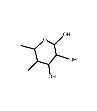 CC1OC(O)C(O)C(O)C1C